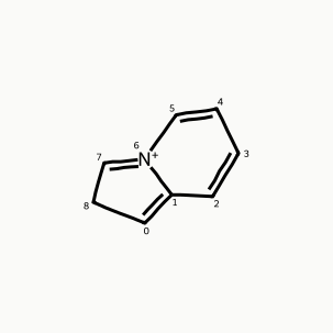 C1=c2cccc[n+]2=CC1